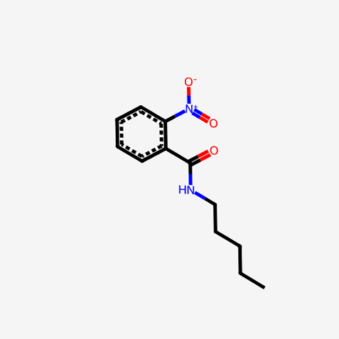 CCCCCNC(=O)c1ccccc1[N+](=O)[O-]